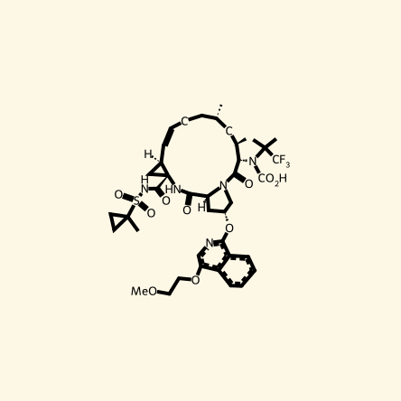 COCCOc1cnc(O[C@@H]2C[C@H]3C(=O)N[C@]4(C(=O)NS(=O)(=O)C5(C)CC5)C[C@H]4/C=C\CC[C@H](C)C[C@@H](C)[C@H](N(C(=O)O)C(C)(C)C(F)(F)F)C(=O)N3C2)c2ccccc12